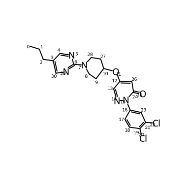 CCCc1cnc(N2CCC(Oc3cnn(-c4ccc(Cl)c(Cl)c4)c(=O)c3)CC2)nc1